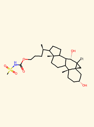 CCC12C[C@]13C[C@H](O)CC[C@]3(C)C1CC[C@@]3(C)C(CCC3[C@H](C)CCCOC(=O)NS(C)(=O)=O)C1[C@@H]2O